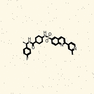 Cc1cc(-c2ccc3cc(S(=O)(=O)NC4CCC(C(=O)N[C@H](C)c5ccc(F)cc5)CC4)ccc3n2)ccn1